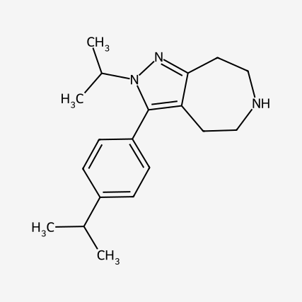 CC(C)c1ccc(-c2c3c(nn2C(C)C)CCNCC3)cc1